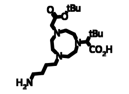 CC(C)(C)OC(=O)CN1CCN(CCCCN)CCN(C(C(=O)O)C(C)(C)C)CC1